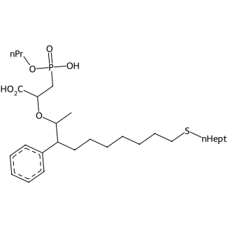 CCCCCCCSCCCCCCCC(c1ccccc1)C(C)OC(CP(=O)(O)OCCC)C(=O)O